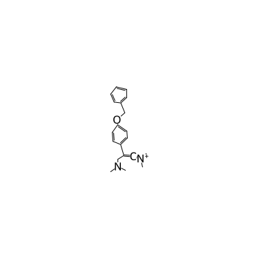 CN(C)CC(=C=[N+](C)C)c1ccc(OCc2ccccc2)cc1